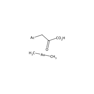 CC(=O)CC(=O)C(=O)O.[CH3][Au][CH3]